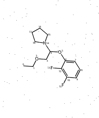 CCOCC(Oc1cccc(F)c1F)N1CCCC1